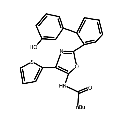 CCCCC(=O)Nc1oc(-c2ccccc2-c2cccc(O)c2)nc1-c1cccs1